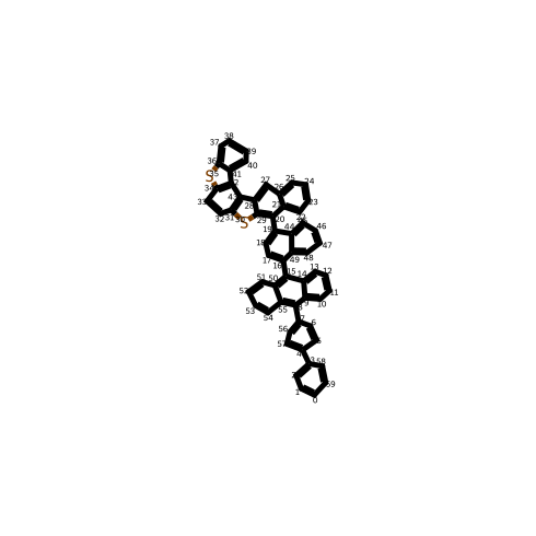 c1ccc(-c2ccc(-c3c4ccccc4c(-c4ccc(-c5c6ccccc6cc6c5sc5ccc7sc8ccccc8c7c56)c5ccccc45)c4ccccc34)cc2)cc1